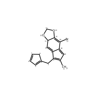 CC1=C(CC2=CC=CC2)C2=CC3OCOC3=C(Br)C2=C1